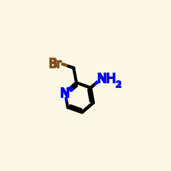 Nc1cccnc1CBr